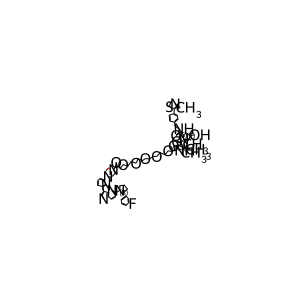 Cc1ncsc1-c1ccc(CNC(=O)[C@@H]2C[C@@H](O)CN2C(=O)[C@@H](NC(=O)COCCOCCOCCOCCOCC(=O)N2CCN(c3cccc(C4=CN=C5C=CC(N6CCC[C@@H]6c6cccc(F)c6)=NC45)n3)CC2)C(C)(C)C)cc1